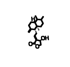 C=C1CC[C@@H]2C(C)C(C)CC[C@@]2(C)[C@@H]1C/C=C1/C(=O)OC[C@H]1O